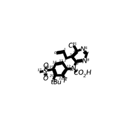 C=CCc1c(Cl)ncnc1N(C(=O)O)c1ccc(S(C)(=O)=O)c(C(C)(C)C)c1F